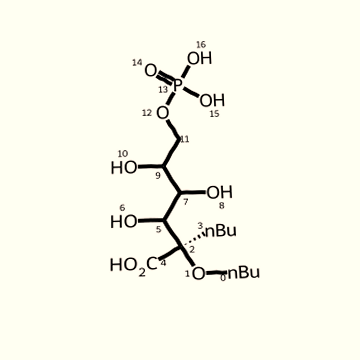 CCCCO[C@@](CCCC)(C(=O)O)C(O)C(O)C(O)COP(=O)(O)O